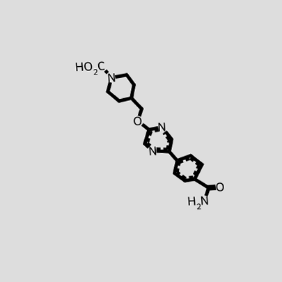 NC(=O)c1ccc(-c2cnc(OCC3CCN(C(=O)O)CC3)cn2)cc1